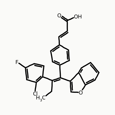 CC/C(=C(/c1ccc(/C=C/C(=O)O)cc1)c1coc2ccccc12)c1ccc(F)cc1Cl